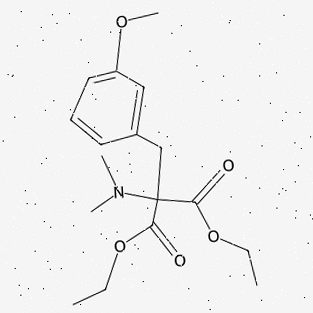 CCOC(=O)C(Cc1cccc(OC)c1)(C(=O)OCC)N(C)C